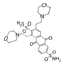 NS(=O)(=O)c1ccc2c(c1)C(=O)c1cc(CCN3CCOCC3)c(S(N)(=O)=O)c(CCN3CCOCC3)c1C2=O